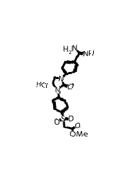 COC(=O)CS(=O)(=O)c1ccc(N2CCN(c3ccc(C(=N)N)cc3)C2=O)cc1.Cl